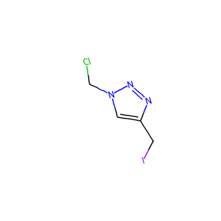 ClCn1cc(CI)nn1